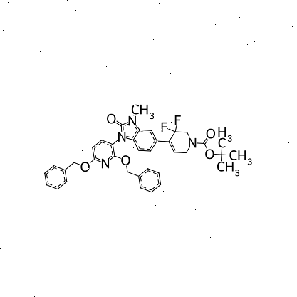 Cn1c(=O)n(-c2ccc(OCc3ccccc3)nc2OCc2ccccc2)c2ccc(C3=CCN(C(=O)OC(C)(C)C)CC3(F)F)cc21